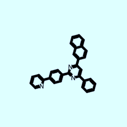 c1ccc(-c2cc(-c3ccc4ccccc4c3)nc(-c3ccc(-c4ccccn4)cc3)n2)cc1